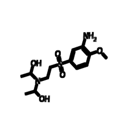 COc1ccc(S(=O)(=O)CCN(C(C)O)C(C)O)cc1N